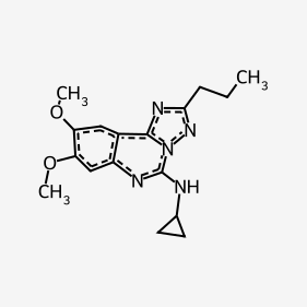 CCCc1nc2c3cc(OC)c(OC)cc3nc(NC3CC3)n2n1